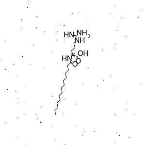 CCCCCCCCCCCCCCC(=O)N[C@@H](CCCNC(=N)N)C(=O)O